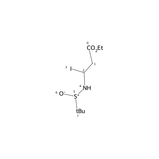 CCOC(=O)CC(I)N[S+]([O-])C(C)(C)C